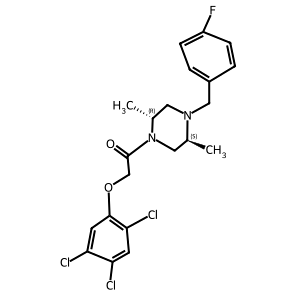 C[C@@H]1CN(Cc2ccc(F)cc2)[C@@H](C)CN1C(=O)COc1cc(Cl)c(Cl)cc1Cl